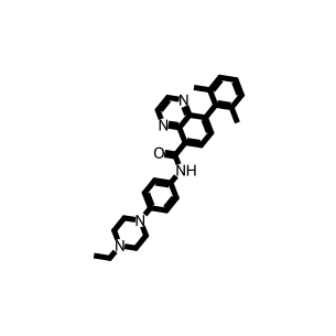 CCN1CCN(c2ccc(NC(=O)c3ccc(-c4c(C)cccc4C)c4nccnc34)cc2)CC1